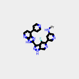 CC(C)Nc1cncc(-c2ncc3[nH]nc(-c4nc5c(-c6ccncc6)ccnc5[nH]4)c3c2F)c1